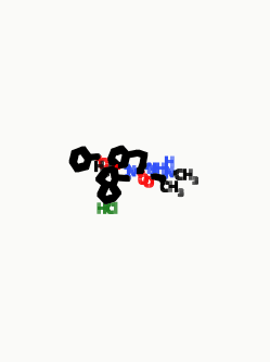 CNC(C)C(=O)NC1CCc2ccc(OCc3ccccc3)cc2N(Cc2c(C)ccc3ccccc23)C1=O.Cl